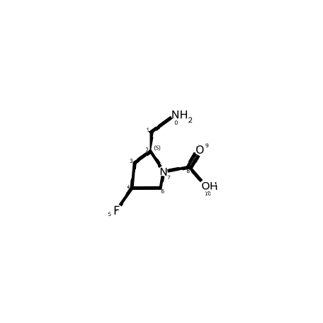 NC[C@@H]1CC(F)CN1C(=O)O